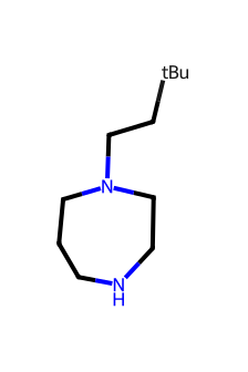 CC(C)(C)CCN1CCCNCC1